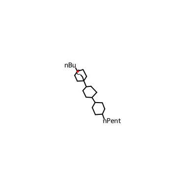 CCCCCC1CCC(C2CCC(C34CCC(CCCC)(CC3)CC4)CC2)CC1